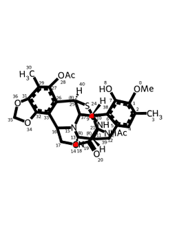 COc1c(C)cc2c(c1O)[C@@H]1N[C@H](C2)[C@H](C#N)N2C3COC(=O)C(NC(C)=O)CS[C@H](c4c(OC(C)=O)c(C)c5c(c43)OCO5)C12